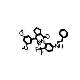 COc1cc(OC)cc(-c2nn(-c3cc(NCCc4ccccc4)ccc3C(F)(F)F)c(=O)c3c2CCC3)c1